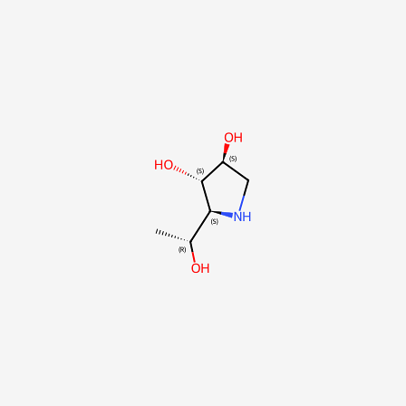 C[C@@H](O)[C@@H]1NC[C@H](O)[C@H]1O